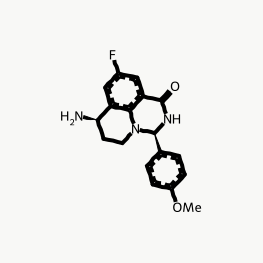 COc1ccc([C@@H]2NC(=O)c3cc(F)cc4c3N2CC[C@H]4N)cc1